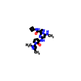 CNc1cc(Nc2cccn(-c3cc(C)nn3C)c2=O)nc2c(C(=O)NC3CCC3)cnn12